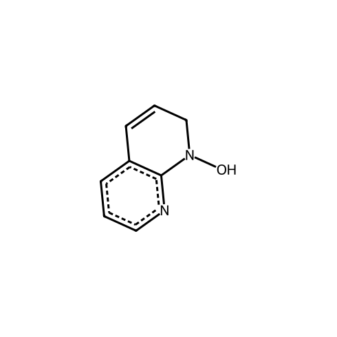 ON1CC=Cc2cccnc21